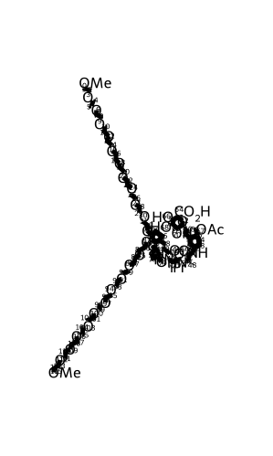 COCCOCCOCCOCCOCCOCCOCCOCCOCCOCCOCCOc1ccc(C[C@@H](C(=O)N[C@H](C(=O)N[C@@H](C)C(=O)Nc2ccc(COC(C)=O)c(CC[C@@H]3O[C@H](C(=O)O)[C@@H](O)[C@H](O)[C@H]3O)c2)C(C)C)N2C(=O)C=CC2=O)cc1OCCOCCOCCOCCOCCOCCOCCOCCOCCOCCOCCOC